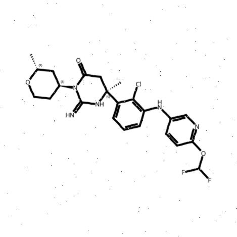 C[C@@H]1C[C@@H](N2C(=N)N[C@](C)(c3cccc(Nc4ccc(OC(F)F)nc4)c3Cl)CC2=O)CCO1